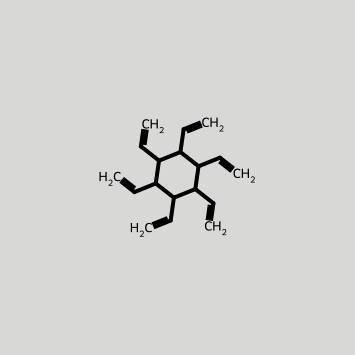 C=CC1C(C=C)C(C=C)C(C=C)C(C=C)C1C=C